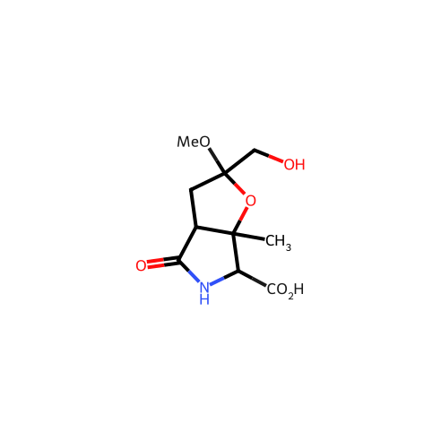 COC1(CO)CC2C(=O)NC(C(=O)O)C2(C)O1